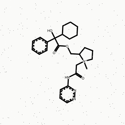 C[N+]1(CC(=O)Nc2cccnn2)CCCC1COC(=O)C(O)(c1ccccc1)C1CCCCC1